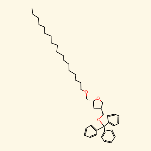 CCCCCCCCCCCCCCCCCCOC[C@H]1C[C@H](COC(c2ccccc2)(c2ccccc2)c2ccccc2)CO1